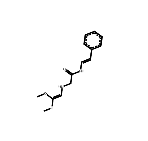 COC(=CNCC(=O)NC=Cc1ccccc1)OC